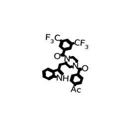 CC(=O)c1ccc(C(=O)N2CCN(C(=O)c3cc(C(F)(F)F)cc(C(F)(F)F)c3)C(Cc3c[nH]c4ccccc34)C2)cc1